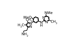 CNc1cc(C)nc(Nc2ccc(OC)c(-n3nc(CCN)c(C)c3C)c2)n1